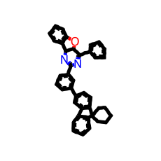 c1ccc(C2=NC(c3cccc(-c4ccc5c(c4)-c4ccccc4C54CCCCC4)c3)=NC3c4ccccc4OC23)cc1